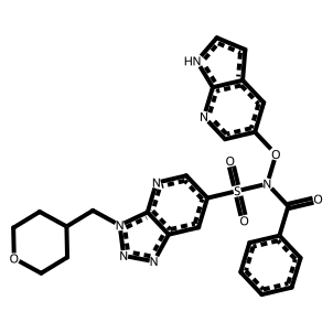 O=C(c1ccccc1)N(Oc1cnc2[nH]ccc2c1)S(=O)(=O)c1cnc2c(c1)nnn2CC1CCOCC1